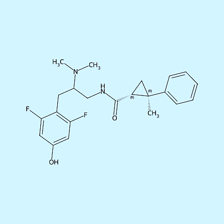 CN(C)C(CNC(=O)[C@@H]1C[C@@]1(C)c1ccccc1)Cc1c(F)cc(O)cc1F